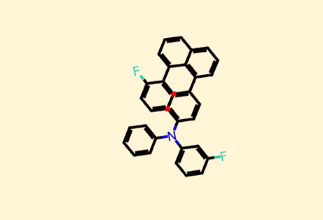 Fc1cccc(N(c2ccccc2)c2ccc(-c3cccc4cccc(-c5ccccc5F)c34)cc2)c1